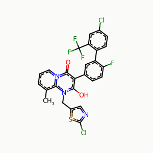 Cc1cccn2c(=O)c(-c3ccc(F)c(-c4ccc(Cl)cc4C(F)(F)F)c3)c(O)[n+](Cc3cnc(Cl)s3)c12